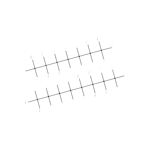 FC(F)(F)C(F)(F)C(F)(F)C(F)(F)C(F)(F)C(F)(F)C(F)(F)C(F)(F)F.FC(F)(F)C(F)(F)C(F)(F)C(F)(F)C(F)(F)C(F)(F)C(F)(F)F